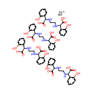 O=C([O-])C(NCCNC(C(=O)O)c1ccccc1O)c1ccccc1O.O=C([O-])C(NCCNC(C(=O)O)c1ccccc1O)c1ccccc1O.O=C([O-])C(NCCNC(C(=O)O)c1ccccc1O)c1ccccc1O.O=C([O-])C(NCCNC(C(=O)O)c1ccccc1O)c1ccccc1O.[Fe+3].[Na+]